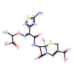 CC(ON=C(C(=O)NC1C(=O)N2C=C(C(=O)O)CS[C@H]12)c1nsc(N)n1)C(=O)O